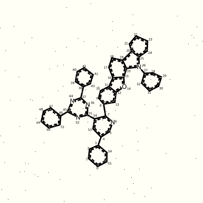 c1ccc(-c2cnc(-c3ccc4c(c3)oc3c4ccc4c5ccccc5n(-c5ccccc5)c43)c(-c3nc(-c4ccccc4)nc(-c4ccccc4)n3)c2)cc1